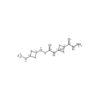 NNC(=O)C12CC(NC(=O)COC3CC(OC(F)(F)F)C3)(C1)C2